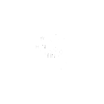 NC(c1cc(F)ccc1Br)S(=O)(=O)NC(=O)c1ccccc1